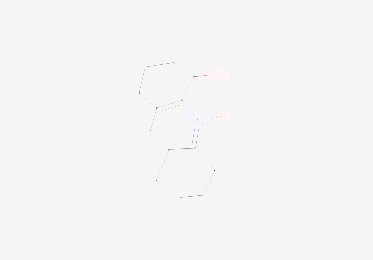 [O-][n+]1c2c(cc3c1C(O)CCC3)CCCC2